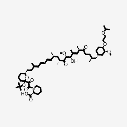 CO[C@@H]1C[C@H](C[C@@H](C)CCC(=O)[C@H](C)/C=C(\C)[C@@H](O)[C@@H](OC)C(=O)[C@H](C)C[C@H](C)/C=C/C=C/C=C(\C)CC[C@@H]2CC[C@@H](C)[C@](OC(C)(C)C)(C(=O)C(=O)N3CCCC[C@H]3C(=O)O)O2)CC[C@H]1OCCOC(C)C